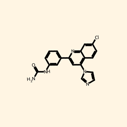 NC(=O)Nc1cccc(-c2cc(-n3ccnc3)c3ccc(Cl)cc3n2)c1